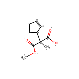 COC(=O)C(C)(C(=O)O)C1C=CCC1